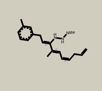 C=CC\C=C/C=C(C)/C(=C/Cc1cccc(C)c1)NNNC